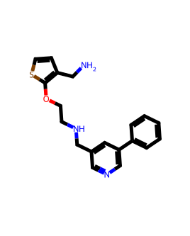 NCc1ccsc1OCCNCc1cncc(-c2ccccc2)c1